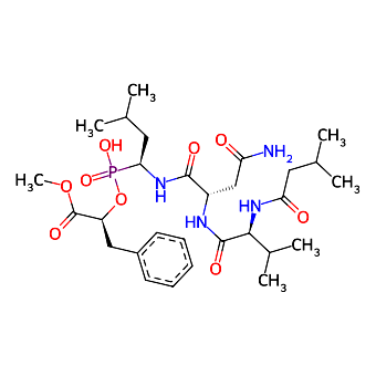 COC(=O)[C@H](Cc1ccccc1)OP(=O)(O)[C@@H](CC(C)C)NC(=O)[C@H](CC(N)=O)NC(=O)[C@@H](NC(=O)CC(C)C)C(C)C